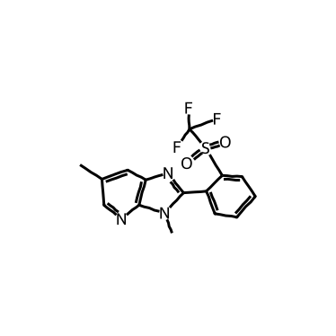 Cc1cnc2c(c1)nc(-c1ccccc1S(=O)(=O)C(F)(F)F)n2C